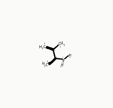 C=C(C)C(=C)NC(C)C